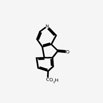 O=C(O)c1ccc2c(c1)C(=O)c1cnccc1-2